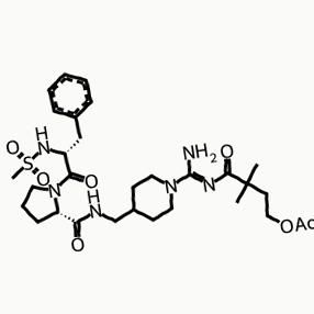 CC(=O)OCCC(C)(C)C(=O)/N=C(\N)N1CCC(CNC(=O)[C@@H]2CCCN2C(=O)[C@@H](Cc2ccccc2)NS(C)(=O)=O)CC1